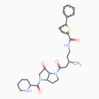 CC(CCNC(=O)c1ccc(-c2ccccc2)s1)CC(=O)N1CCC2C1C(=O)CN2C(=O)C1CCCCN1